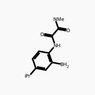 Bc1cc(C(C)C)ccc1NC(=O)C(=O)NC